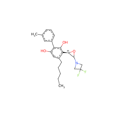 CCCCCc1cc(O)c(-c2cccc(C)c2)c(O)c1[C@H]1OC1N1CC(F)(F)C1